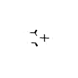 CC(C)(C)OC(N)=O.O=CO